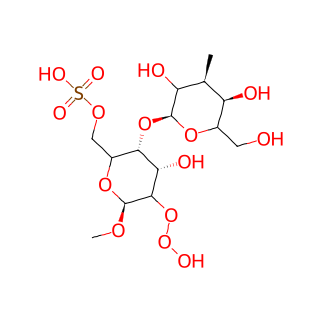 CO[C@H]1OC(COS(=O)(=O)O)[C@H](O[C@@H]2OC(CO)[C@H](O)[C@H](C)C2O)[C@H](O)C1OOO